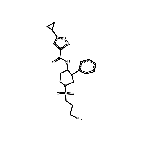 NCCCS(=O)(=O)N1CCC(NC(=O)c2cc(C3CC3)on2)C(c2ccccc2)C1